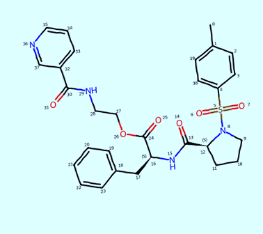 Cc1ccc(S(=O)(=O)N2CCC[C@H]2C(=O)N[C@@H](Cc2ccccc2)C(=O)OCCNC(=O)c2cccnc2)cc1